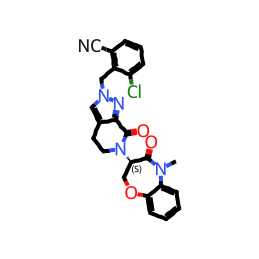 CN1C(=O)[C@@H](N2CCc3cn(Cc4c(Cl)cccc4C#N)nc3C2=O)COc2ccccc21